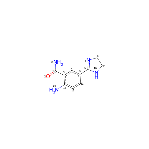 NC(=O)c1cc(C2=NCCN2)ccc1N